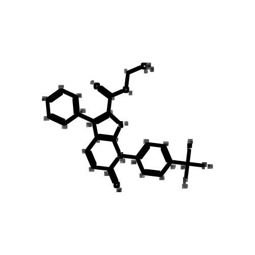 CCOC(=O)c1sc2c(ccc(=O)n2-c2ccc(C(F)(F)F)cc2)c1-c1ccccc1